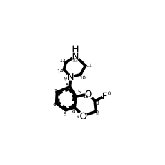 FC1COc2cccc(N3CCNCC3)c2O1